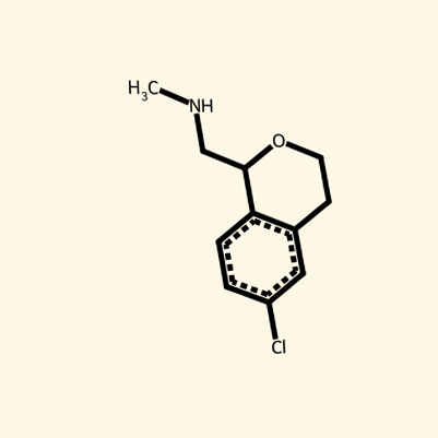 CNCC1OCCc2cc(Cl)ccc21